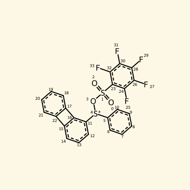 O=S(=O)(O[S+](c1ccccc1)c1cccc2c1-c1ccccc1-2)c1c(F)c(F)c(F)c(F)c1F